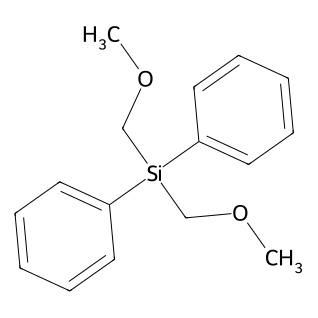 COC[Si](COC)(c1ccccc1)c1ccccc1